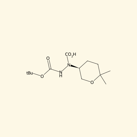 CC(C)(C)OC(=O)NN(C(=O)O)[C@H]1CCC(C)(C)OC1